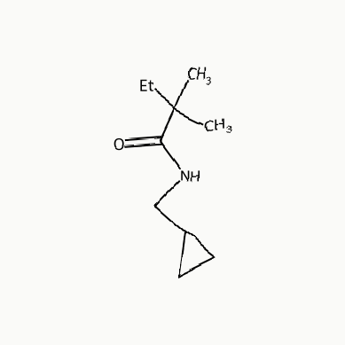 CCC(C)(C)C(=O)NCC1CC1